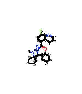 CN(C)C1(C(NC(=O)c2ccc(F)c3ncccc23)c2ccccc2)CCCC1